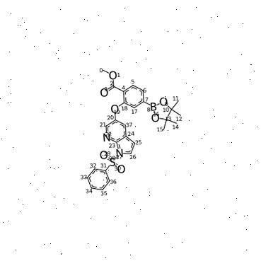 COC(=O)c1ccc(B2OC(C)(C)C(C)(C)O2)cc1Oc1cnc2c(ccn2S(=O)(=O)c2ccccc2)c1